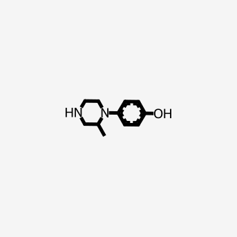 CC1CNCCN1c1ccc(O)cc1